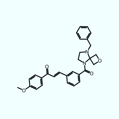 COc1ccc(C(=O)/C=C/c2cccc(C(=O)N3CCN(Cc4ccccc4)C34COC4)c2)cc1